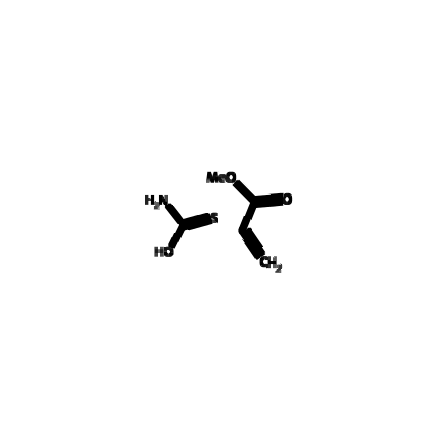 C=CC(=O)OC.NC(O)=S